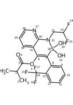 CC(C)C(=O)OC1=C(c2ccccc2C(F)(F)F)S(O)(O)N(CC(F)F)c2ncccc21